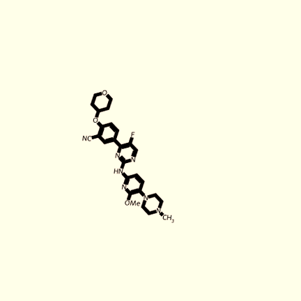 COc1nc(Nc2ncc(F)c(-c3ccc(OC4CCOCC4)c(C#N)c3)n2)ccc1N1CCN(C)CC1